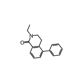 CCN1CCc2c(cccc2-c2ccccc2)C1=O